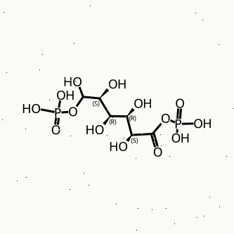 O=C(OP(=O)(O)O)[C@@H](O)[C@H](O)[C@@H](O)[C@H](O)C(O)OP(=O)(O)O